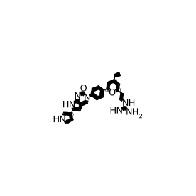 C=C[C@H]1C[C@@H](CCNC(=N)N)O[C@H](c2ccc(-n3cc4cc([C@@H]5CCNC5)[nH]c4nc3=O)cc2)C1